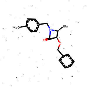 COc1ccc(CN2C(=O)[C@H](OCc3ccccc3)[C@@H]2C(C)(C)C)cc1